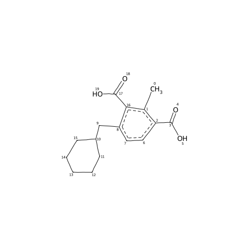 Cc1c(C(=O)O)ccc(CC2CCCCC2)c1C(=O)O